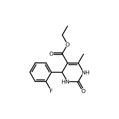 CCOC(=O)C1=C(C)NC(=O)NC1c1ccccc1F